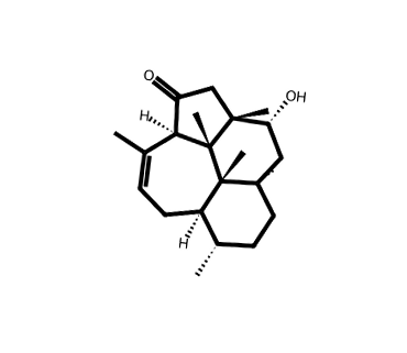 CC1=CC[C@@H]2[C@@H](C)CC[C@]3(C)C[C@@H](O)[C@@]4(C)CC(=O)[C@H]1[C@@]4(C)[C@@]23C